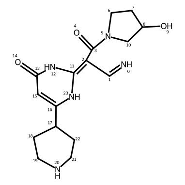 N=C/C(C(=O)N1CCC(O)C1)=C1/NC(=O)C=C(C2CCNCC2)N1